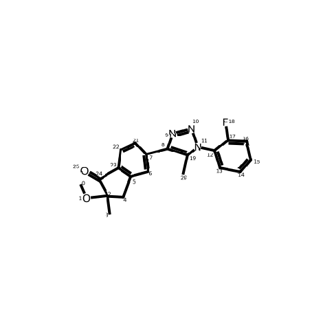 COC1(C)Cc2cc(-c3nnn(-c4ccccc4F)c3C)ccc2C1=O